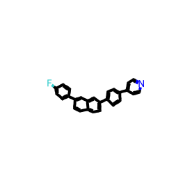 Fc1ccc(-c2ccc3ccc(-c4ccc(-c5ccncc5)cc4)cc3c2)cc1